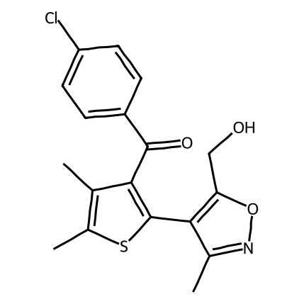 Cc1noc(CO)c1-c1sc(C)c(C)c1C(=O)c1ccc(Cl)cc1